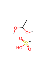 COC(C)OC.CS(=O)(=O)O